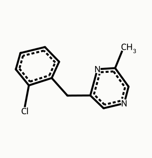 Cc1cncc(Cc2ccccc2Cl)n1